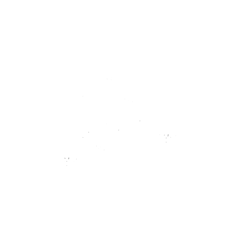 O=S(=O)([O-])[O-].[Mg+2].[Mg+2].[O]=[V](=[O])[O-].[O]=[V](=[O])[O-]